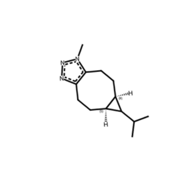 CC(C)C1[C@H]2CCc3nnn(C)c3CC[C@@H]12